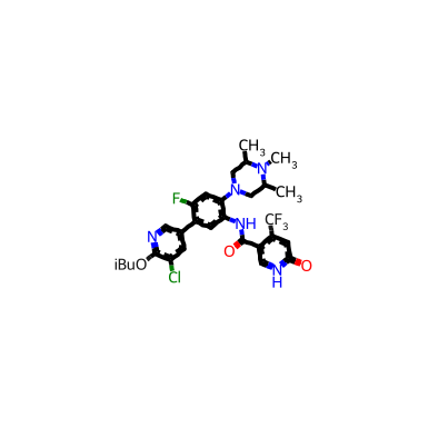 CC(C)COc1ncc(-c2cc(NC(=O)c3c[nH]c(=O)cc3C(F)(F)F)c(N3CC(C)N(C)C(C)C3)cc2F)cc1Cl